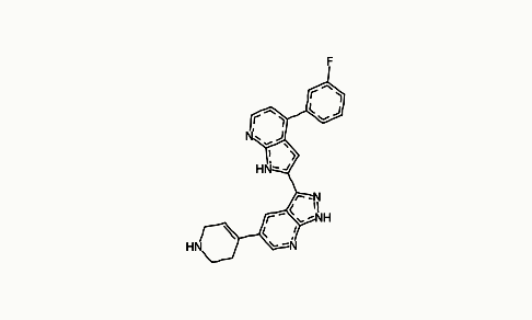 Fc1cccc(-c2ccnc3[nH]c(-c4n[nH]c5ncc(C6=CCNCC6)cc45)cc23)c1